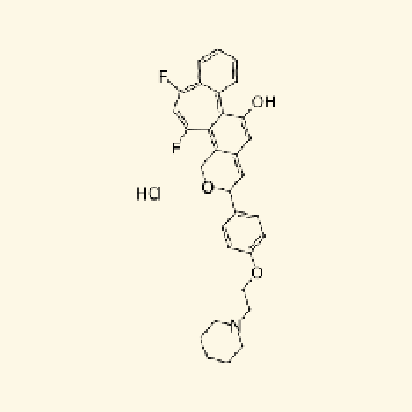 Cl.Oc1cc2c(c3c1=c1ccccc1=C(F)C=C3F)COC(c1ccc(OCCN3CCCCC3)cc1)C=2